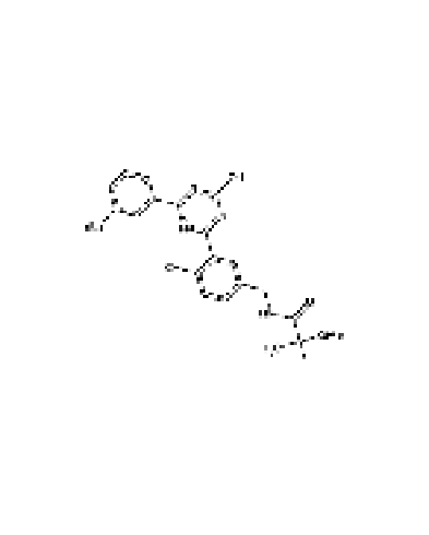 COC(C)(C(=O)NCc1ccc(Cl)c(-c2nc(O)nc(-c3cccc(C(C)(C)C)c3)n2)c1)C(F)(F)F